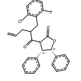 C=CCC(Cc1c(F)cccc1Cl)C(=O)N1C(=O)O[C@H](c2ccccc2)[C@@H]1c1ccccc1